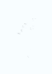 C=C(C)OC(=O)N1CCC(C2CCN(C[C@H](O)Cn3nc(-c4ccc(Cl)c(-c5ccc(Cl)cc5)c4)c4c3CCN(S(C)(=O)=O)C4)CC2)CC1